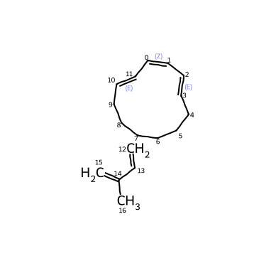 C1=C\C=C\CCCCCC/C=C/1.C=CC(=C)C